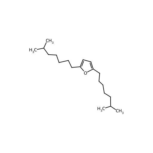 CC(C)CCCCCc1ccc(CCCCCC(C)C)o1